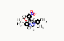 Cc1cc(C)c(N2CCN(c3c(C)cc(C)cc3C)[C]2=[Ru]=[CH]c2cc([N+](=O)[O-])ccc2OC(C)C)c(C)c1